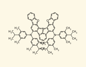 Cc1cc(N(c2cc(C)c(C(C)C)c(C)c2)c2cc3c4ccccc4oc3c3c2c2cccc4c5c(N(c6cc(C)c(C(C)C)c(C)c6)c6cc(C)c(C(C)C)c(C)c6)cc6c7ccccc7oc6c5n3c24)cc(C)c1C(C)C